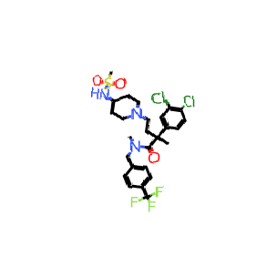 CN(Cc1ccc(C(F)(F)F)cc1)C(=O)C(C)(CCN1CCC(NS(C)(=O)=O)CC1)c1ccc(Cl)c(Cl)c1